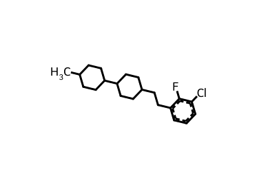 CC1CCC(C2CCC(CCc3cccc(Cl)c3F)CC2)CC1